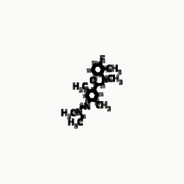 CCN(C)/C=N/c1cc(C)c(C(=O)CN(C)c2cccc(F)c2C)cc1C